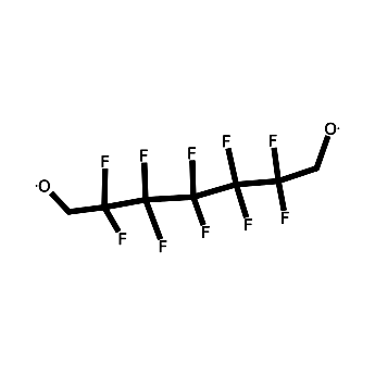 [O]CC(F)(F)C(F)(F)C(F)(F)C(F)(F)C(F)(F)C[O]